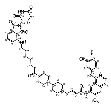 COc1cc2ncnc(Nc3ccc(F)c(Cl)c3)c2cc1NC(=O)/C=C/CN1CCC(N2CCN(C(=O)CCCCCCNc3cccc4c3C(=O)N(C3CCC(=O)NC3=O)C4=O)CC2)CC1